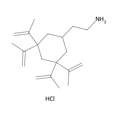 C=C(C)C1(C(=C)C)CC(CCN)CC(C(=C)C)(C(=C)C)C1.Cl